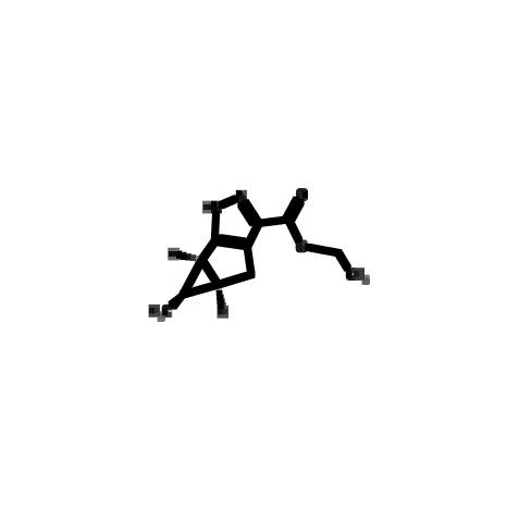 CCOC(=O)c1n[nH]c2c1C[C@H]1[C@@H](C)[C@@H]21